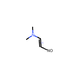 CN(C)/C=C/N=O